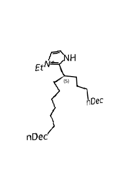 CCCCCCCCCCCCCCCC[C@H](CCCCCCCCCCCCC)c1[nH]cc[n+]1CC